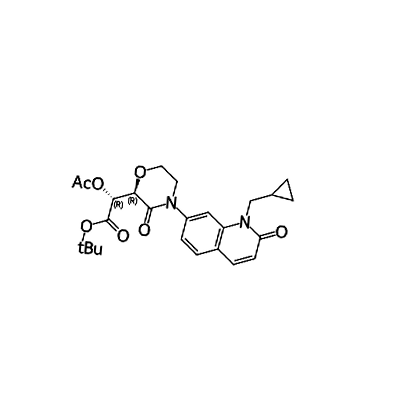 CC(=O)O[C@@H](C(=O)OC(C)(C)C)[C@H]1OCCN(c2ccc3ccc(=O)n(CC4CC4)c3c2)C1=O